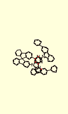 C1=CC2=C(CC1)c1ccc(-c3nc(-n4c5ccccc5c5ccc(-c6ccccc6)cc54)nc(-n4c5ccccc5c5ccc(-c6ccccc6)cc54)n3)cc1C21c2ccccc2-c2ccc(-n3c4ccccc4c4ccccc43)cc21